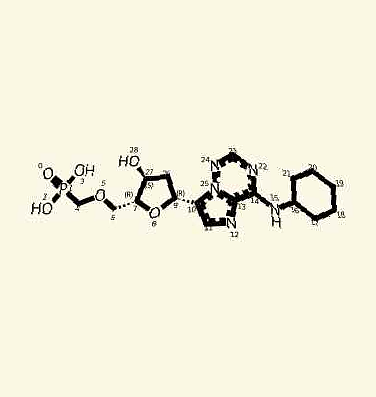 O=P(O)(O)COC[C@H]1O[C@@H](c2cnc3c(NC4CCCCC4)ncnn23)C[C@@H]1O